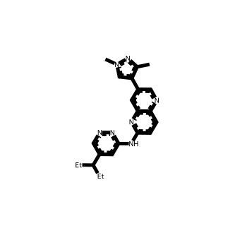 CCC(CC)c1cnnc(Nc2ccc3ncc(-c4cn(C)nc4C)cc3n2)c1